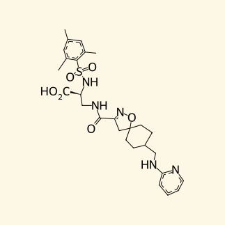 Cc1cc(C)c(S(=O)(=O)N[C@@H](CNC(=O)C2=NOC3(CCC(CNc4ccccn4)CC3)C2)C(=O)O)c(C)c1